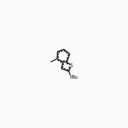 Cc1cccc2sc(C(C)(C)C)cc12